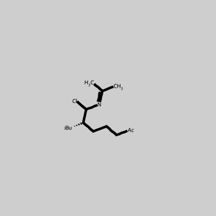 CC[C@@H](C)C(CCCC(C)=O)C(Cl)N=C(C)C